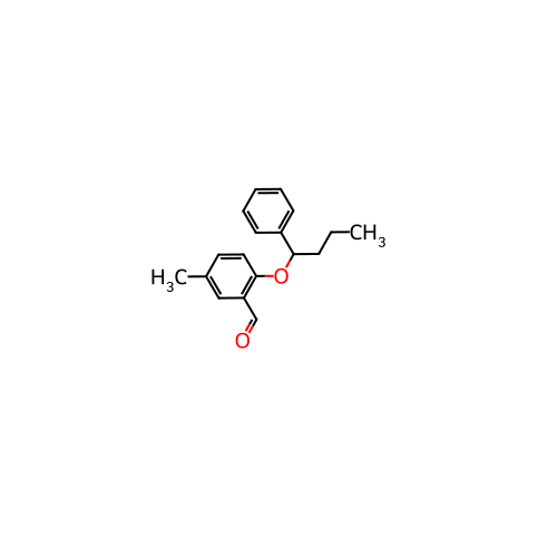 CCCC(Oc1ccc(C)cc1C=O)c1ccccc1